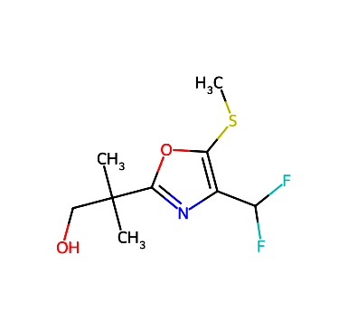 CSc1oc(C(C)(C)CO)nc1C(F)F